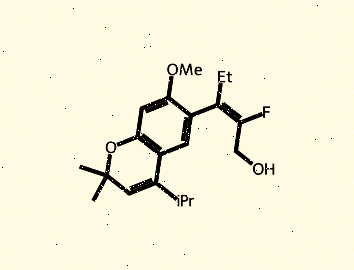 CC/C(=C(\F)CO)c1cc2c(cc1OC)OC(C)(C)C=C2C(C)C